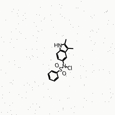 Cc1[nH]c2ccc(N(Cl)S(=O)(=O)c3ccccc3)cc2c1C